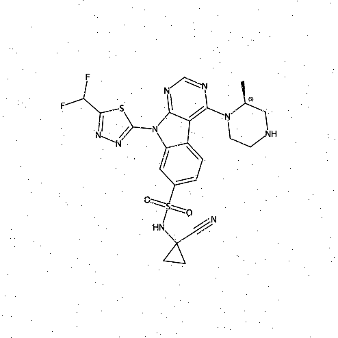 C[C@H]1CNCCN1c1ncnc2c1c1ccc(S(=O)(=O)NC3(C#N)CC3)cc1n2-c1nnc(C(F)F)s1